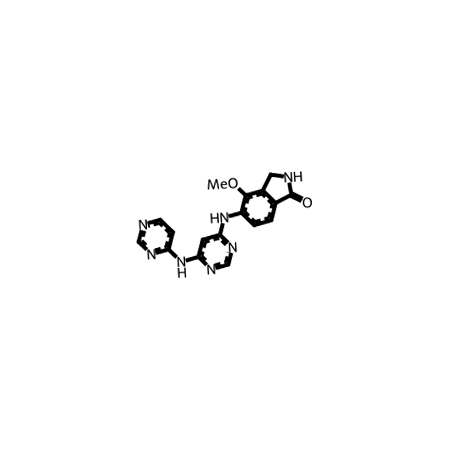 COc1c(Nc2cc(Nc3ccncn3)ncn2)ccc2c1CNC2=O